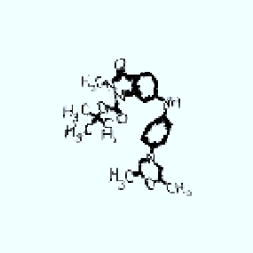 CC1CN(c2ccc(Nc3ccc4c(=O)n(C)n(C(=O)OC(C)(C)C)c4c3)cc2)CC(C)O1